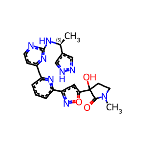 C[C@H](Nc1nccc(-c2cccc(-c3cc(C4(O)CCN(C)C4=O)on3)n2)n1)c1cn[nH]c1